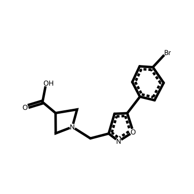 O=C(O)C1CN(Cc2cc(-c3ccc(Br)cc3)on2)C1